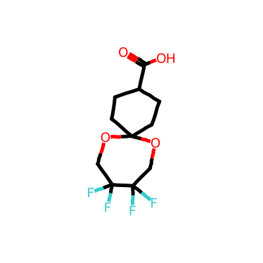 O=C(O)C1CCC2(CC1)OCC(F)(F)C(F)(F)CO2